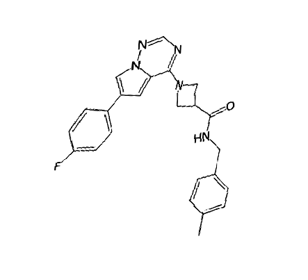 Cc1ccc(CNC(=O)C2CN(c3ncnn4cc(-c5ccc(F)cc5)cc34)C2)cc1